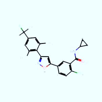 Cc1cc(C(F)(C(F)(F)F)C(F)(F)F)cc(C)c1-c1cc(-c2ccc(Cl)c(C(=O)NC3CC3)c2)on1